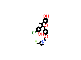 CC1=C(c2ccc(Cl)c(O)c2)C(c2ccc(OCCN3CCC(CF)C3)cc2)Oc2ccc(O)cc21